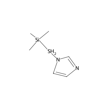 C[Si](C)(C)[SH2]n1ccnc1